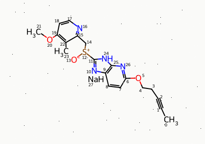 CC#CCCOc1ccc2nc([S+]([O-])Cc3nccc(OC)c3C)[nH]c2n1.[NaH]